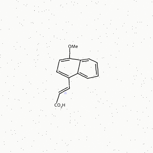 COc1ccc(/C=C/C(=O)O)c2ccccc12